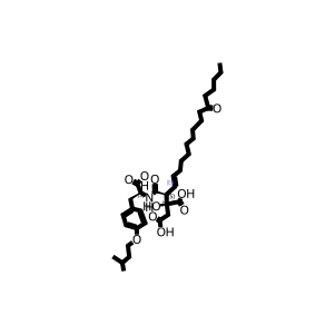 CCCCCC(=O)CCCCCCCC/C=C/[C@H](C(=O)N[C@@H](Cc1ccc(OCCC(C)C)cc1)C(=O)O)[C@@](O)(CC(=O)O)C(=O)O